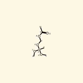 CO[Si](C)(OC)OCOC(C)=O